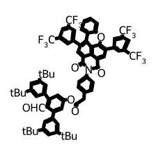 CC(C)(C)c1cc(-c2cc(OC(=O)Cc3ccc(-n4c(=O)c5cc(-c6cc(C(F)(F)F)cc(C(F)(F)F)c6)c6oc7ccccc7c7c(-c8cc(C(F)(F)F)cc(C(F)(F)F)c8)cc(c4=O)c5c67)cc3)cc(-c3cc(C(C)(C)C)cc(C(C)(C)C)c3)c2C=O)cc(C(C)(C)C)c1